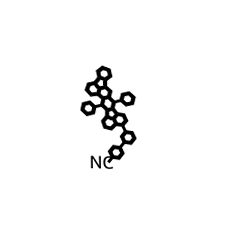 N#Cc1ccc(-c2cccc(-c3ccc4c5c(-c6ccccc6)c6cc7c8ccccc8c8cccc(c6c(-c6ccccc6)c5c5cccc3c45)c87)c2)cc1